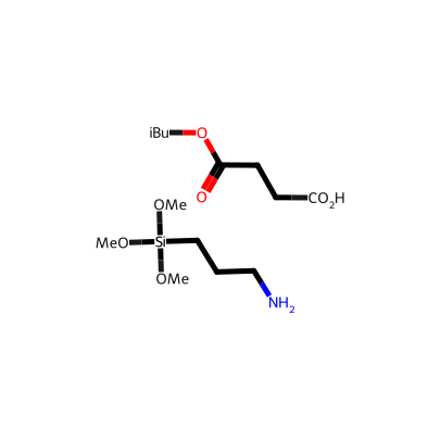 CCC(C)OC(=O)CCC(=O)O.CO[Si](CCCN)(OC)OC